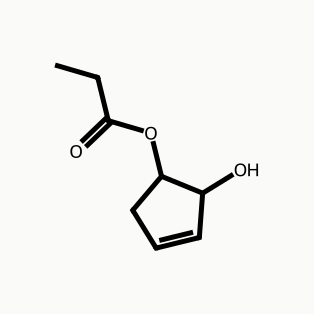 CCC(=O)OC1CC=CC1O